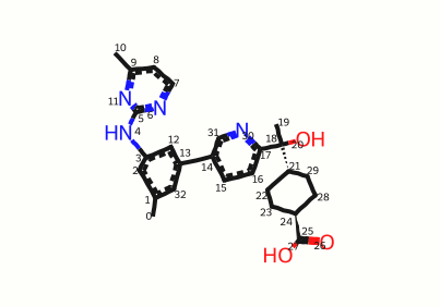 Cc1cc(Nc2nccc(C)n2)cc(-c2ccc(C(C)(O)[C@H]3CC[C@H](C(=O)O)CC3)nc2)c1